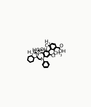 Cc1ccc(C(=O)O)c(C)c1-c1cc2c(cc1Cl)N(c1ccccc1)C[C@@H](C1CCCCC1)N(C)S2(O)O